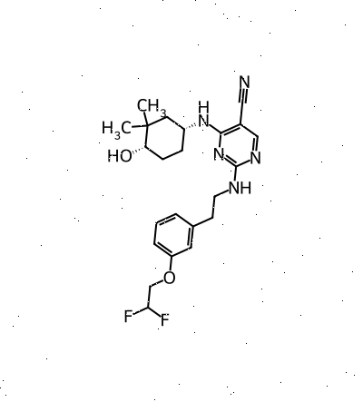 CC1(C)C[C@H](Nc2nc(NCCc3cccc(OCC(F)F)c3)ncc2C#N)CC[C@@H]1O